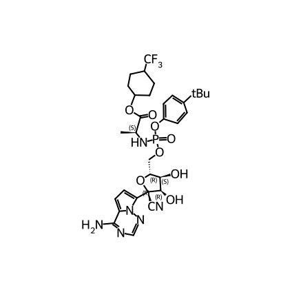 C[C@H](NP(=O)(OC[C@H]1O[C@@](C#N)(c2ccc3c(N)ncnn23)[C@H](O)[C@@H]1O)Oc1ccc(C(C)(C)C)cc1)C(=O)OC1CCC(C(F)(F)F)CC1